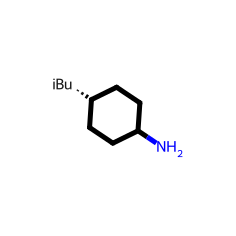 CC[C@@H](C)C1CCC(N)CC1